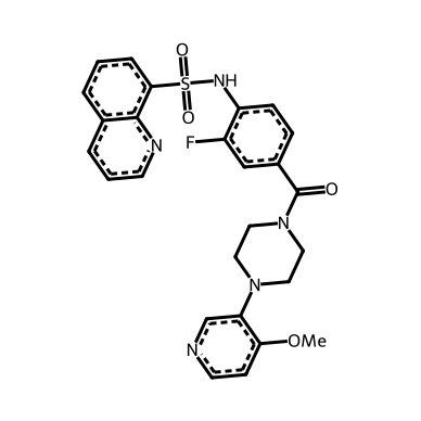 COc1ccncc1N1CCN(C(=O)c2ccc(NS(=O)(=O)c3cccc4cccnc34)c(F)c2)CC1